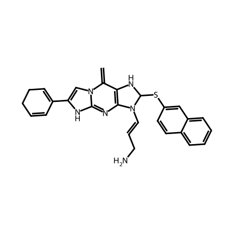 C=C1C2=C(N=C3NC(C4=CCCC=C4)=CN13)N(C=CCN)C(Sc1ccc3ccccc3c1)N2